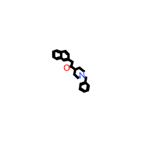 O=C(Cc1ccc2ccccc2c1)C1CCN(Cc2ccccc2)CC1